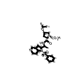 CC(NC(=O)[C@@H]1C[C@@H](OC(F)F)CN1C(=O)O)c1cc2cnccc2n1S(=O)(=O)c1ccccc1